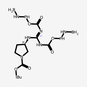 BNPOC(=O)/N=C(/NC(=O)OPNB)N[C@@H]1CCN(C(=O)OC(C)(C)C)C1